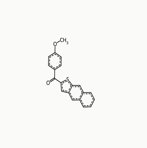 COc1ccc(C(=O)c2cc3cc4ccccc4cc3s2)cc1